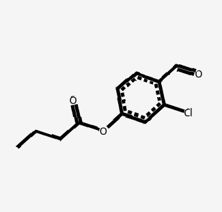 CC[CH]C(=O)Oc1ccc(C=O)c(Cl)c1